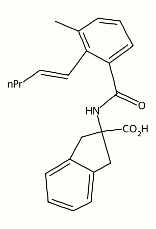 CCCC=Cc1c(C)cccc1C(=O)NC1(C(=O)O)Cc2ccccc2C1